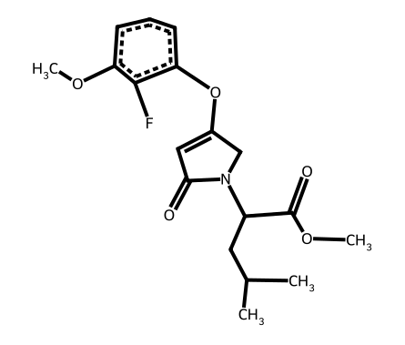 COC(=O)C(CC(C)C)N1CC(Oc2cccc(OC)c2F)=CC1=O